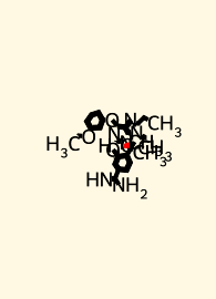 CCOc1cccc(Oc2nc(Oc3cc(C(=N)N)ccc3C(C)(C)C)nc3c2nc(CC)n3CC)c1